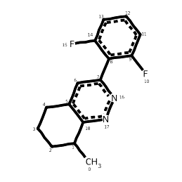 CC1CCCc2cc(-c3c(F)cccc3F)nnc21